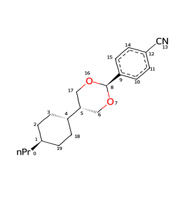 CCC[C@H]1CC[C@H]([C@H]2CO[C@H](c3ccc(C#N)cc3)OC2)CC1